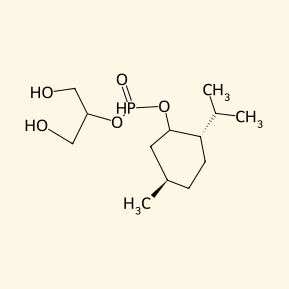 CC(C)[C@@H]1CC[C@@H](C)CC1O[PH](=O)OC(CO)CO